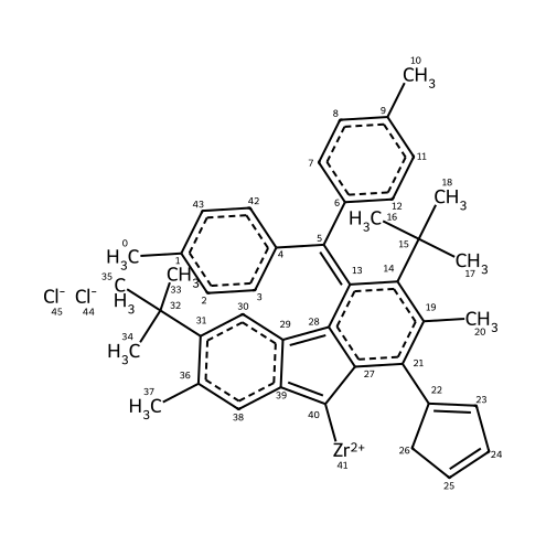 Cc1ccc(C(c2ccc(C)cc2)=c2c(C(C)(C)C)c(C)c(C3=CC=CC3)c3c2=c2cc(C(C)(C)C)c(C)cc2=[C]3[Zr+2])cc1.[Cl-].[Cl-]